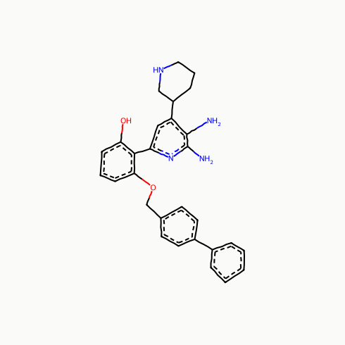 Nc1nc(-c2c(O)cccc2OCc2ccc(-c3ccccc3)cc2)cc(C2CCCNC2)c1N